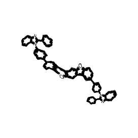 c1ccc(-c2nc3ccccc3n2-c2ccc(-c3ccc4oc5cc6c(cc5c4c3)oc3ccc(-c4ccc(-n5c(-c7ccccc7)nc7ccccc75)cc4)cc36)cc2)cc1